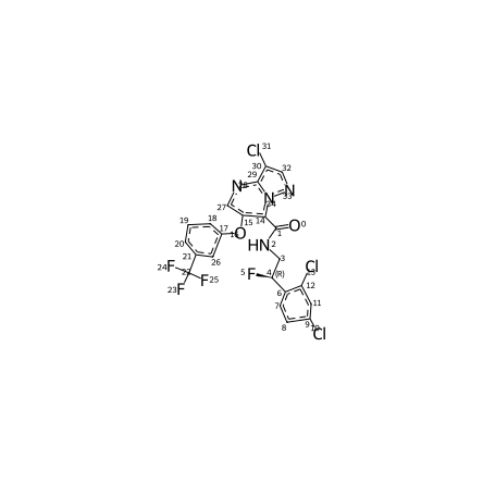 O=C(NC[C@H](F)c1ccc(Cl)cc1Cl)c1c(Oc2cccc(C(F)(F)F)c2)cnc2c(Cl)cnn12